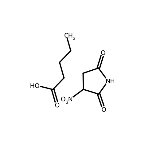 CCCCC(=O)O.O=C1CC([N+](=O)[O-])C(=O)N1